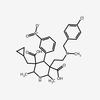 CC1NC(C)C(CC2CC2)(C(=O)O)C(c2cccc([N+](=O)[O-])c2)C1(CCN(C)Cc1ccc(Cl)cc1)C(=O)O